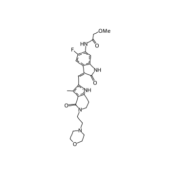 COCC(=O)Nc1cc2c(cc1F)C(=Cc1[nH]c3c(c1C)C(=O)N(CCN1CCOCC1)CC3)C(=O)N2